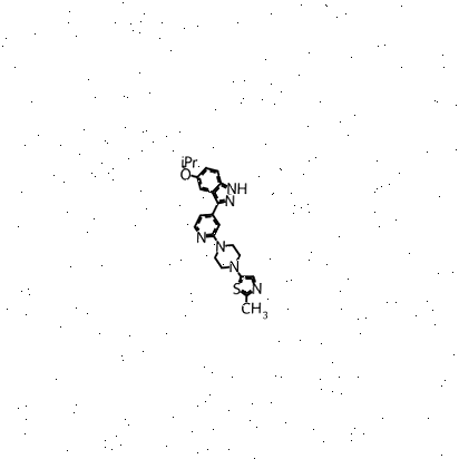 Cc1ncc(N2CCN(c3cc(-c4n[nH]c5ccc(OC(C)C)cc45)ccn3)CC2)s1